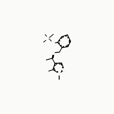 CC(=NCc1ccccc1O[Si](C)(C)C)c1cnn(C)c1C